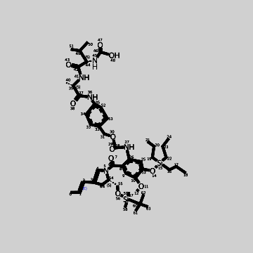 C/C=C/C1=CN(C(=O)c2cc(OC)c(O[Si](CCC)(CCC)CCC)cc2NC(=O)OCc2ccc(NC(=O)[C@H](C)NC(=O)[C@@H](NC(=O)O)C(C)C)cc2)[C@H](CO[Si](C)(C)C(C)(C)C)C1